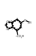 CCOc1cc(C(=O)O)c2ncoc2c1